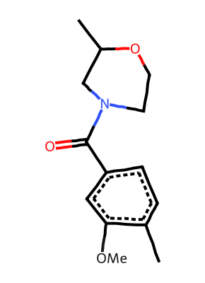 COc1cc(C(=O)N2CCOC(C)C2)ccc1C